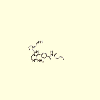 C=C(/C=C\C=C/C)NC(=C)c1ccc(-c2nc(C3CCCN3CC=P)n3ccnc(N)c23)cc1